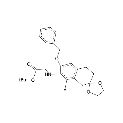 CC(C)(C)OC(=O)CNc1c(OCc2ccccc2)cc2c(c1F)CC1(CC2)OCCO1